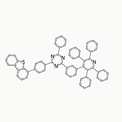 c1ccc(-c2nc(-c3ccc(-c4cccc5c4sc4ccccc45)cc3)nc(-c3cccc(-c4c(-c5ccccc5)c(-c5ccccc5)nc(-c5ccccc5)c4-c4ccccc4)c3)n2)cc1